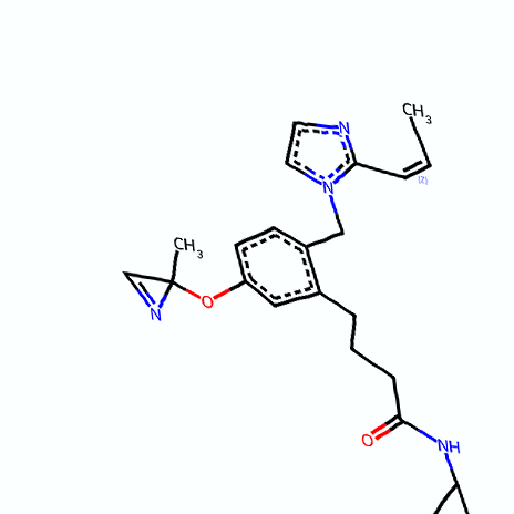 C/C=C\c1nccn1Cc1ccc(OC2(C)C=N2)cc1CCCC(=O)NC1CC1